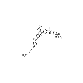 CCCCCCCOc1ccc(C(=O)Oc2ccc(CN(CC(=O)O)C(=O)c3ccc(NC(=O)Cc4ccc(S(C)(=O)=O)cc4)cc3)cc2)cc1